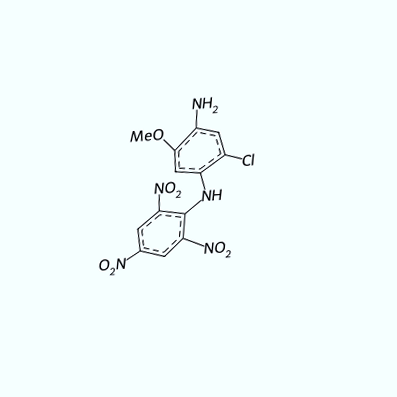 COc1cc(Nc2c([N+](=O)[O-])cc([N+](=O)[O-])cc2[N+](=O)[O-])c(Cl)cc1N